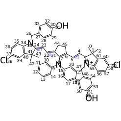 CC1(C)C(/C=C/C2=C(N(c3ccccc3)c3ccccc3)C(=C/C=C3/N(Cc4ccc(O)cc4)c4ccc(Cl)cc4C3(C)C)/CC2)=[N+](Cc2ccc(O)cc2)c2ccc(Cl)cc21